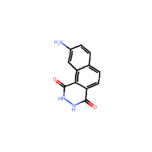 Nc1ccc2ccc3c(=O)[nH][nH]c(=O)c3c2c1